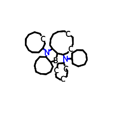 C1CCCCCC(N2C3CCCCCCCCC3B3C4CCCCCCCCC4N(C4CCCCCCCC4)C4CCCCCCCCCCC2C34)CCCC1